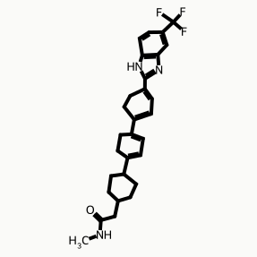 CNC(=O)CC1CCC(C2=CC=C(C3=CC=C(c4nc5cc(C(F)(F)F)ccc5[nH]4)CC3)CC2)CC1